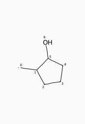 [CH2]C1CCCC1O